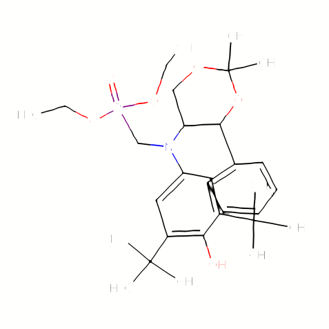 CCOP(=O)(CN(c1cc(C(C)(C)C)c(O)c(C(C)(C)C)c1)C1COC(C)(C)OC1c1ccccc1)OCC